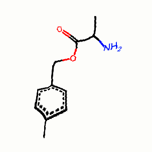 Cc1ccc(COC(=O)C(C)N)cc1